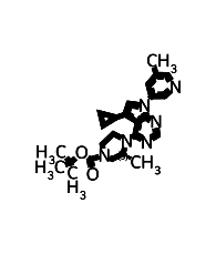 Cc1cncc(-n2cc(C3CC3)c3c(N4CCN(C(=O)OC(C)(C)C)C[C@@H]4C)ncnc32)c1